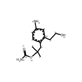 CC(C)(Cc1ccc(N)cc1CCO)OC(N)=O